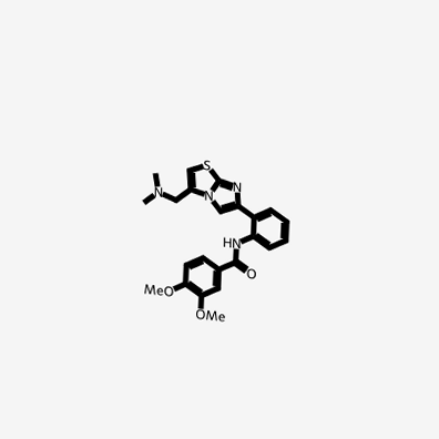 COc1ccc(C(=O)Nc2ccccc2-c2cn3c(CN(C)C)csc3n2)cc1OC